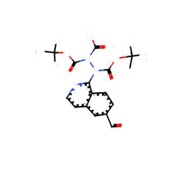 CC(C)(C)OC(=O)N(C(=O)O)N(C(=O)OC(C)(C)C)c1nccc2cc(C=O)ccc12